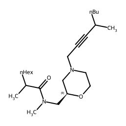 CCCCCCC(C)C(=O)N(C)C[C@H]1CN(CC#CC(C)CCCC)CCO1